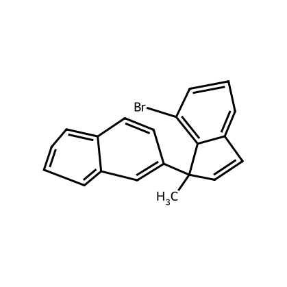 CC1(c2ccc3ccccc3c2)C=Cc2cccc(Br)c21